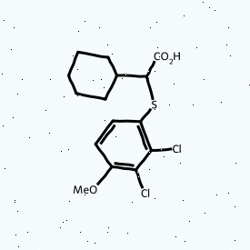 COc1ccc(SC(C(=O)O)C2CCCCC2)c(Cl)c1Cl